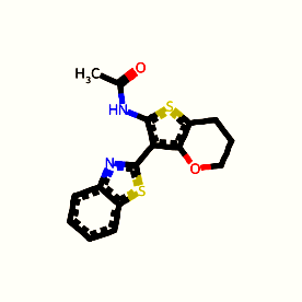 CC(=O)Nc1sc2c(c1-c1nc3ccccc3s1)OCCC2